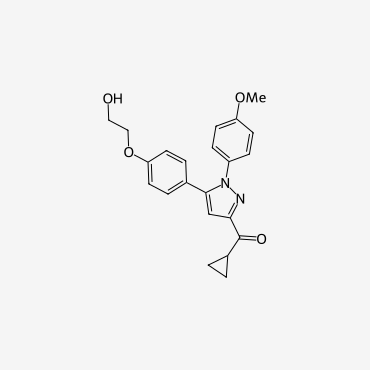 COc1ccc(-n2nc(C(=O)C3CC3)cc2-c2ccc(OCCO)cc2)cc1